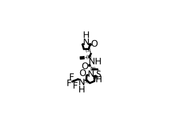 C#C[C@H](C[C@@H]1CCNC1=O)NC(=O)[C@@H]1CS[C@H]2CC[C@H](NCC(F)(F)F)C(=O)N21